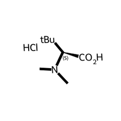 CN(C)[C@H](C(=O)O)C(C)(C)C.Cl